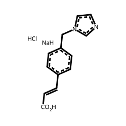 Cl.O=C(O)/C=C/c1ccc(Cn2ccnc2)cc1.[NaH]